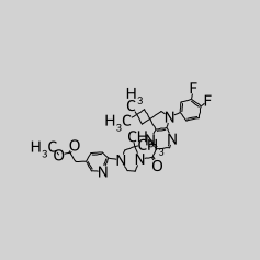 COC(=O)Cc1ccc(N2CCN(C(=O)c3cnc4c(n3)C3(CN4c4ccc(F)c(F)c4)CC(C)(C)C3)C(C)(C)C2)nc1